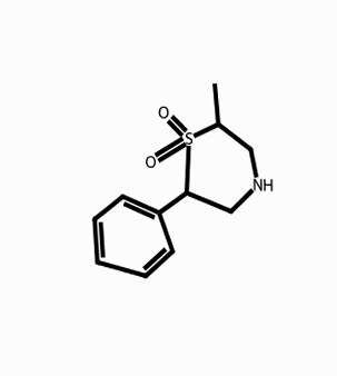 CC1CNCC(c2ccccc2)S1(=O)=O